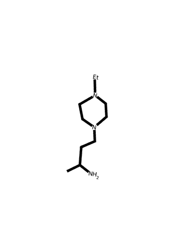 CCN1CCN(CCC(C)N)CC1